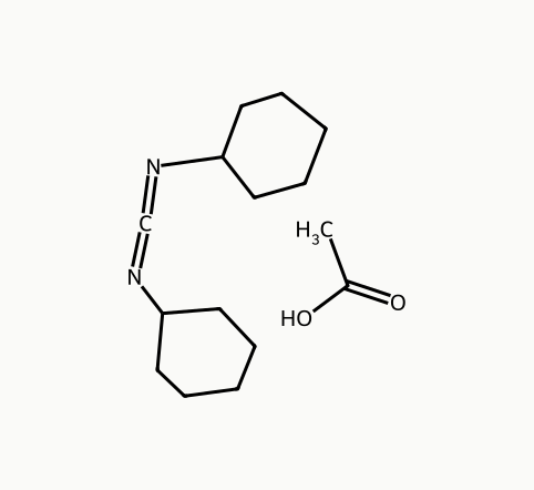 C(=NC1CCCCC1)=NC1CCCCC1.CC(=O)O